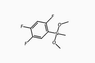 CO[Si](C)(OC)c1cc(F)c(F)cc1F